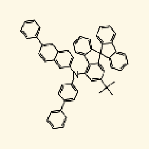 CC(C)(C)c1cc(N(c2ccc(-c3ccccc3)cc2)c2ccc3cc(-c4ccccc4)ccc3c2)c2c(c1)C1(c3ccccc3-c3ccccc31)c1ccccc1-2